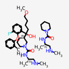 CNC[C@H](C)NC(=O)N1CCCCC1.CNC[C@H](C)NC(=O)N1CCC[C@@H]([C@@](O)(CCCCOC)c2cccc(F)c2Oc2ccccc2C)C1